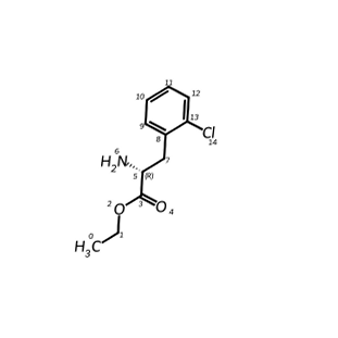 CCOC(=O)[C@H](N)Cc1ccccc1Cl